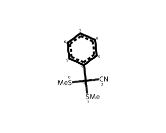 CSC(C#N)(SC)c1ccccc1